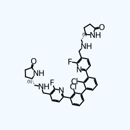 O=C1CC[C@@H](CNCc2ccc(-c3cccc(-c4cccc(-c5ccc(CNC[C@@H]6CCC(=O)N6)c(F)n5)c4Cl)c3Cl)nc2F)N1